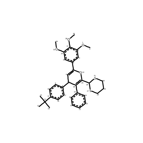 COc1cc(C2=CC(c3ccc(C(C)(C)C)cc3)C(c3ccccc3)=C(C3SCCCS3)O2)cc(OC)c1OC